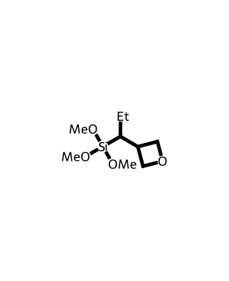 CCC(C1COC1)[Si](OC)(OC)OC